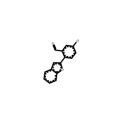 O=Cc1cc(Cl)ccc1-c1cc2ccccc2o1